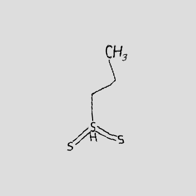 CCC[SH](=S)=S